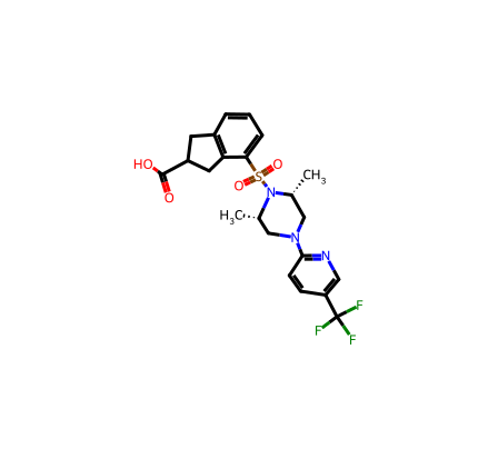 C[C@@H]1CN(c2ccc(C(F)(F)F)cn2)C[C@H](C)N1S(=O)(=O)c1cccc2c1CC(C(=O)O)C2